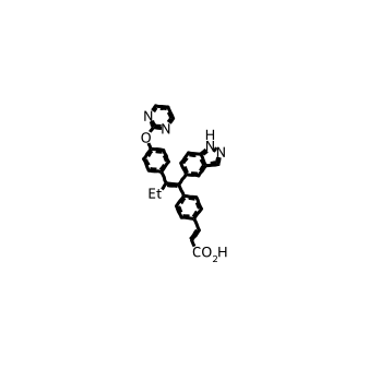 CCC(=C(c1ccc(C=CC(=O)O)cc1)c1ccc2[nH]ncc2c1)c1ccc(Oc2ncccn2)cc1